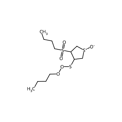 CCCCOOSC1C[S+]([O-])CC1S(=O)(=O)CCCC